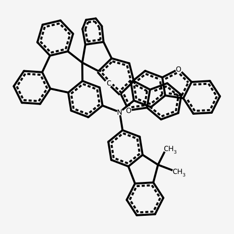 CC1(C)c2ccccc2-c2ccc(N(c3ccc4c(c3)C3(c5ccccc5-c5ccccc5-4)c4ccccc4-c4cc5c(cc43)oc3ccccc35)c3ccc4oc5ccccc5c4c3)cc21